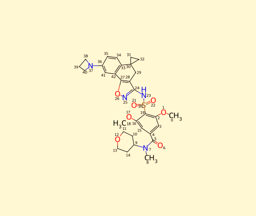 COc1cc(C(=O)N(C)C2CCOCC2)cc(OC)c1S(=O)(=O)Nc1noc2c1CC1(CC1)c1ccc(N3CCC3)cc1-2